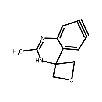 CC1=Nc2cc#ccc2C2(COC2)N1